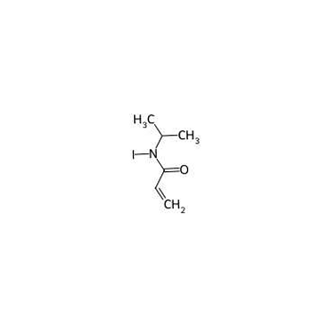 C=CC(=O)N(I)C(C)C